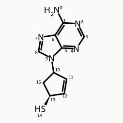 Nc1ncnc2c1ncn2C1C=C[C@@H](S)C1